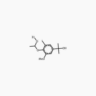 CCOC(C)Oc1c(I)cc(C(C)(C)O)cc1OC